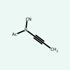 CC#CN(C#N)C(C)=O